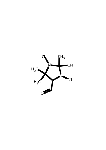 CC1(C)C(C=O)N(Cl)C(C)(C)N1Cl